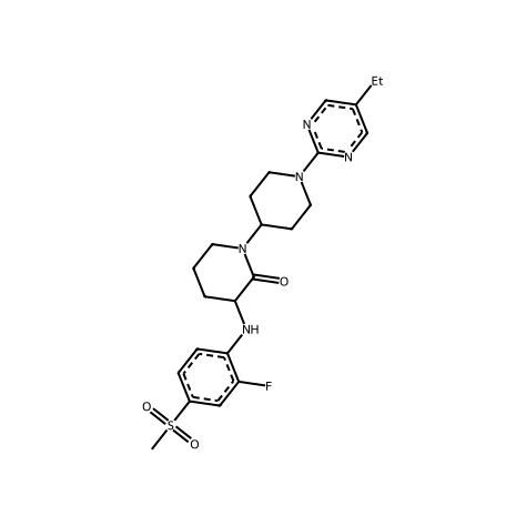 CCc1cnc(N2CCC(N3CCCC(Nc4ccc(S(C)(=O)=O)cc4F)C3=O)CC2)nc1